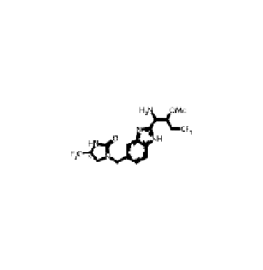 COC(CC(F)(F)F)C(N)c1nc2cc(CN3C[C@@H](C(F)(F)F)NC3=O)ccc2[nH]1